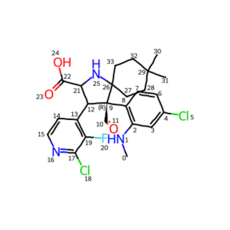 CNc1cc(Cl)ccc1[C@]1(C=O)C(c2ccnc(Cl)c2F)C(C(=O)O)NC12CCC(C)(C)CC2